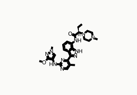 CC[C@H](C(=O)Nc1cccc2c(-c3nc(Nc4cn(C)nc4OC)ncc3C)n[nH]c12)N1CCN(C)CC1